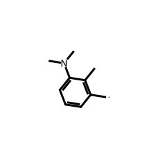 [CH2]c1cccc(N(C)C)c1C